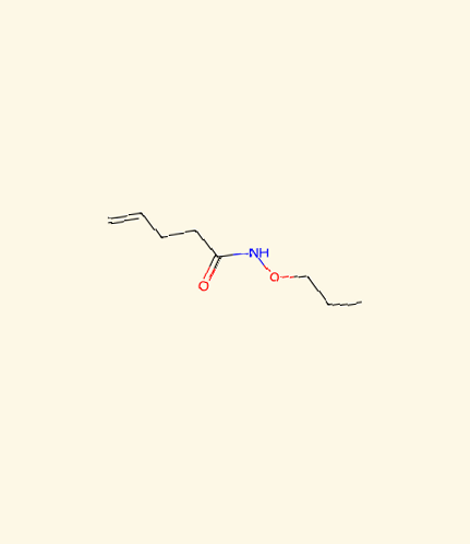 C=CCCC(=O)NOCCC